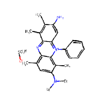 CCN(CC)c1cc(C)c2nc3c(C)c(C)c(N)cc3[n+](-c3ccccc3)c2c1C.O=S(=O)([O-])O